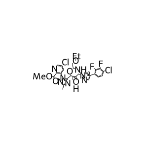 CCOCC(N)OC(c1nc(C)nn1-c1cc(Cl)cnc1C(=O)OC)[C@@H](O)Cn1cc(-c2ccc(Cl)c(F)c2F)cn1